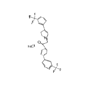 Cl.O=C(CN1CC=C(c2cccc(C(F)(F)F)c2)CC1)c1ccc(-c2cccc(C(F)(F)F)c2)cc1